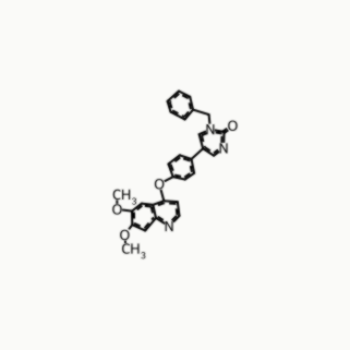 COc1cc2nccc(Oc3ccc(-c4cnc(=O)n(Cc5ccccc5)c4)cc3)c2cc1OC